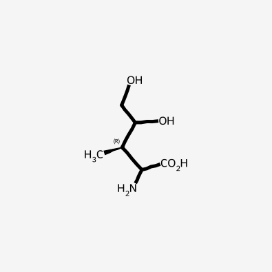 C[C@@H](C(O)CO)C(N)C(=O)O